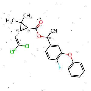 CC1(C)[C@@H](C=C(Cl)Cl)[C@@H]1C(=O)O[C@@H](C#N)c1ccc(F)c(Oc2ccccc2)c1